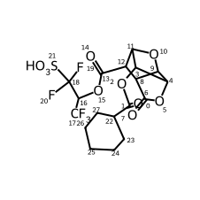 O=C(OC1C2OC(=O)C3C2OC1C3C(=O)OC(C(F)(F)F)C(F)(F)S(=O)(=O)O)C1CCCCC1